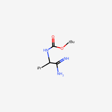 CC(C)C(NC(=O)OC(C)(C)C)C(=N)N